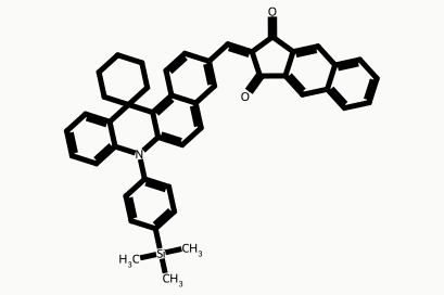 C[Si](C)(C)c1ccc(N2c3ccccc3C3(CCCCC3)c3c2ccc2cc(C=C4C(=O)c5cc6ccccc6cc5C4=O)ccc32)cc1